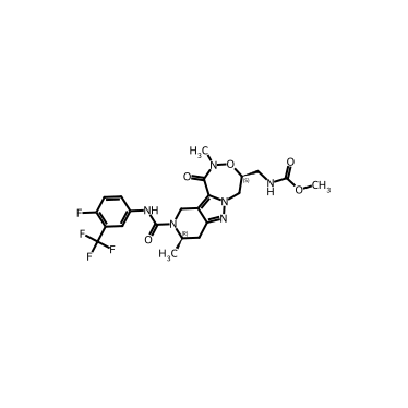 COC(=O)NC[C@H]1Cn2nc3c(c2C(=O)N(C)O1)CN(C(=O)Nc1ccc(F)c(C(F)(F)F)c1)[C@H](C)C3